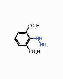 NNc1c(C(=O)O)cccc1C(=O)O